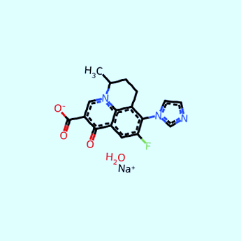 CC1CCc2c(-n3ccnc3)c(F)cc3c(=O)c(C(=O)[O-])cn1c23.O.[Na+]